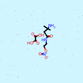 CC(C)(N)CC(=O)NCCO[N+](=O)[O-].O=C(O)C(=O)O